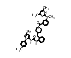 Cc1ccc(-n2nc(C(C)(C)C)cc2NC(=O)Nc2ccccc2CC2CCN(C(=O)c3cccc(N(C)c4nc(C)cc(C)n4)c3)CC2)cc1